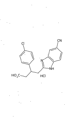 Cl.N#Cc1ccc2[nH]c(CC(CC(=O)O)c3ccc(Cl)cc3)nc2c1